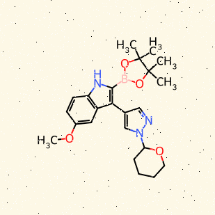 COc1ccc2[nH]c(B3OC(C)(C)C(C)(C)O3)c(-c3cnn(C4CCCCO4)c3)c2c1